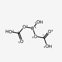 O=C(O)OB(O)OC(=O)O